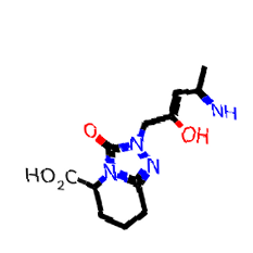 CC(=N)/C=C(\O)Cn1nc2n(c1=O)C(C(=O)O)CCC2